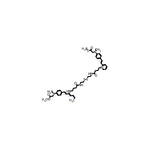 C\C=C/C=C(/C=C/c1ccc(N(C)CC(=O)OC)cc1)NCCCC(=O)NCCSSCCNC(=O)CCC[n+]1ccccc1/C=C/c1ccc(N(C)CC(=O)OC)cc1